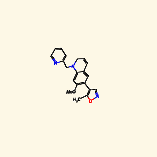 COc1cc2c(cc1-c1cnoc1C)C=CCN2Cc1ccccn1